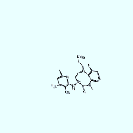 CNCCN1CC[C@H](Nc2nc(C)cc(C(F)(F)F)c2C#N)C(=O)N(C)c2cccc(F)c21